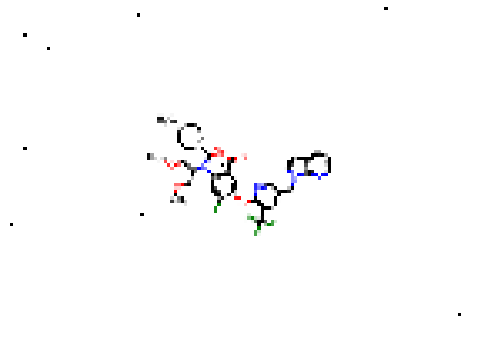 COCC(COC)N(c1cc(F)c(Oc2ncc(Cn3ccc4cccnc43)cc2C(F)(F)F)cc1C(=O)O)C(=O)[C@H]1CC[C@H](C)CC1